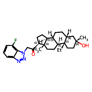 CC[C@]12CC[C@@](C)(O)C[C@H]1CC[C@H]1[C@@H]3CC[C@H](C(=O)Cn4nnc5cccc(F)c54)[C@@]3(C)CC[C@@H]12